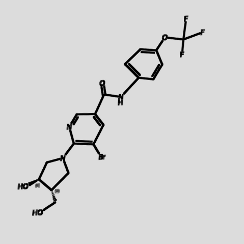 O=C(Nc1ccc(OC(F)(F)F)cc1)c1cnc(N2C[C@H](CO)[C@@H](O)C2)c(Br)c1